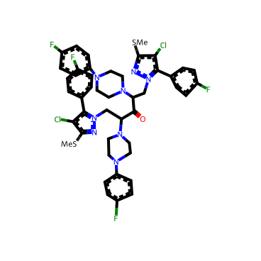 CSc1nn(CC(C(=O)C(Cn2nc(SC)c(Cl)c2-c2ccc(F)cc2)N2CCN(c3ccc(F)cc3)CC2)N2CCN(c3ccc(F)cc3)CC2)c(-c2ccc(F)cc2)c1Cl